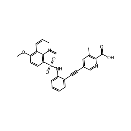 C=Nc1c(S(=O)(=O)Nc2ccccc2C#Cc2cnc(C(=O)O)c(C)c2)ccc(OC)c1/C=C\C